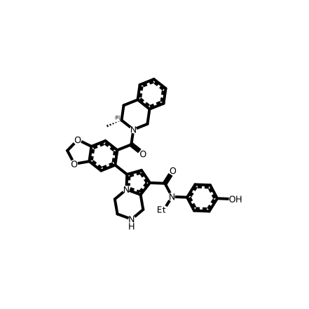 CCN(C(=O)c1cc(-c2cc3c(cc2C(=O)N2Cc4ccccc4C[C@H]2C)OCO3)n2c1CNCC2)c1ccc(O)cc1